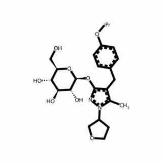 Cc1c(Cc2ccc(OC(C)C)cc2)c(O[C@@H]2O[C@H](CO)[C@@H](O)[C@H](O)[C@H]2O)nn1C1CCOC1